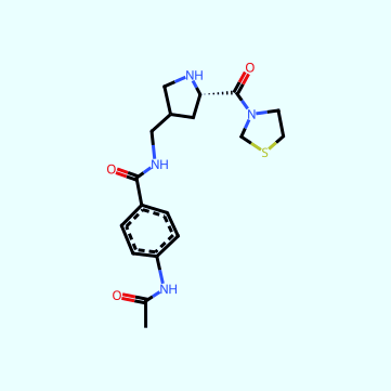 CC(=O)Nc1ccc(C(=O)NCC2CN[C@H](C(=O)N3CCSC3)C2)cc1